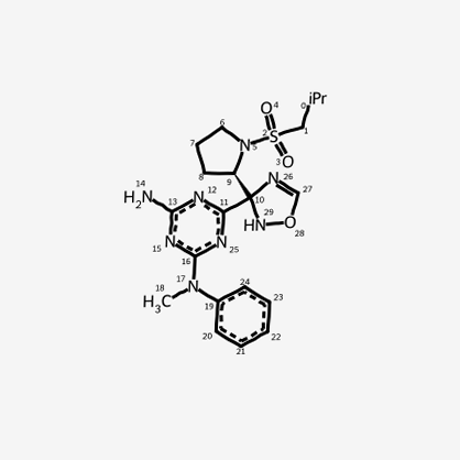 CC(C)CS(=O)(=O)N1CCC[C@@H]1C1(c2nc(N)nc(N(C)c3ccccc3)n2)N=CON1